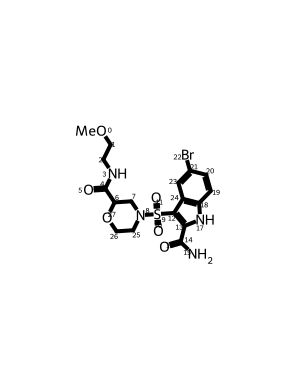 COCCNC(=O)C1CN(S(=O)(=O)c2c(C(N)=O)[nH]c3ccc(Br)cc23)CCO1